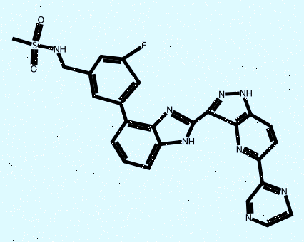 CS(=O)(=O)NCc1cc(F)cc(-c2cccc3[nH]c(-c4n[nH]c5ccc(-c6cnccn6)nc45)nc23)c1